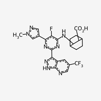 Cn1cc(-c2nc(-c3n[nH]c4ncc(C(F)(F)F)cc34)nc(NC3C4CCC(CC4)C3C(=O)O)c2F)cn1